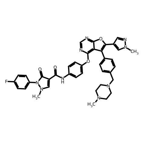 CN1CCN(Cc2ccc(-c3c(-c4cnn(C)c4)oc4ncnc(Oc5ccc(NC(=O)c6cn(C)n(-c7ccc(F)cc7)c6=O)cc5)c34)cc2)CC1